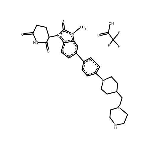 Cn1c(=O)n(C2CCC(=O)NC2=O)c2ccc(-c3ccc(N4CCC(CN5CCNCC5)CC4)cc3)cc21.O=C(O)C(F)(F)F